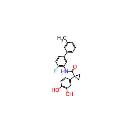 Cc1cccc(-c2ccc(F)c(NC(=O)C3(c4ccc(O)c(O)c4)CC3)c2)c1